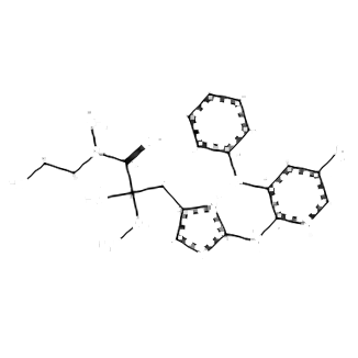 COC(C)(Cc1csc(Nc2ncc(Br)cc2Sc2ccccc2)n1)C(=O)N(C)CCO